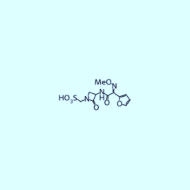 CO/N=C(\C(=O)NC1CN(CS(=O)(=O)O)C1=O)c1ccco1